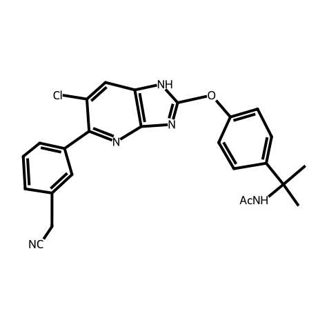 CC(=O)NC(C)(C)c1ccc(Oc2nc3nc(-c4cccc(CC#N)c4)c(Cl)cc3[nH]2)cc1